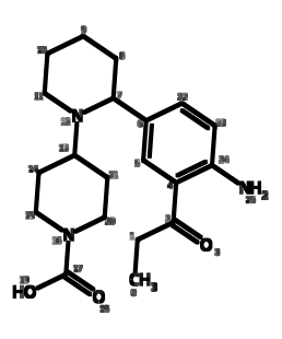 CCC(=O)c1cc(C2CCCCN2C2CCN(C(=O)O)CC2)ccc1N